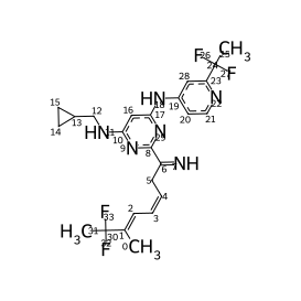 C/C(=C\C=C/CC(=N)c1nc(NCC2CC2)cc(Nc2ccnc(C(C)(F)F)c2)n1)C(C)(F)F